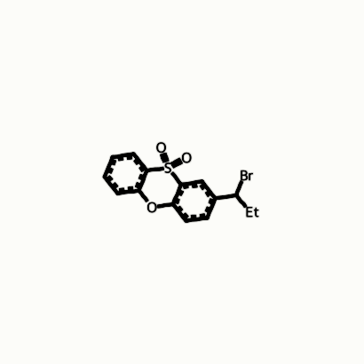 CCC(Br)c1ccc2c(c1)S(=O)(=O)c1ccccc1O2